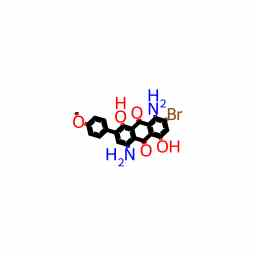 COc1ccc(-c2cc(N)c3c(c2O)C(=O)c2c(N)c(Br)cc(O)c2C3=O)cc1